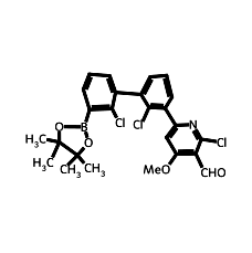 COc1cc(-c2cccc(-c3cccc(B4OC(C)(C)C(C)(C)O4)c3Cl)c2Cl)nc(Cl)c1C=O